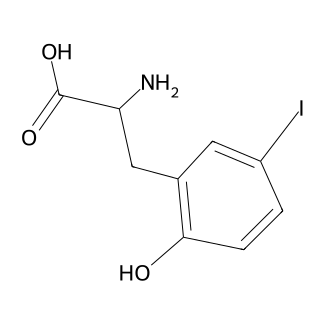 NC(Cc1cc(I)ccc1O)C(=O)O